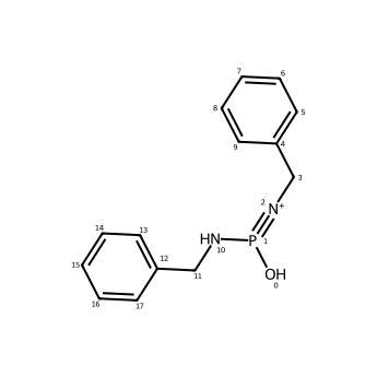 OP(#[N+]Cc1ccccc1)NCc1ccccc1